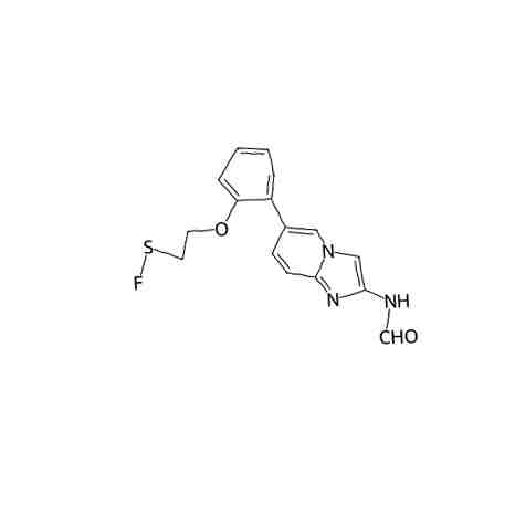 O=CNc1cn2cc(-c3ccccc3OCCSF)ccc2n1